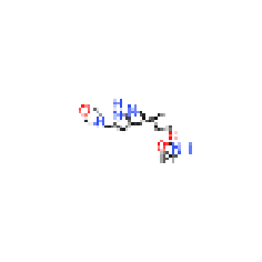 CC(C)NC(=O)O[C@@H]1CC[C@H](c2cnc3[nH]c(CN4CCOCC4)cc3c2)C1